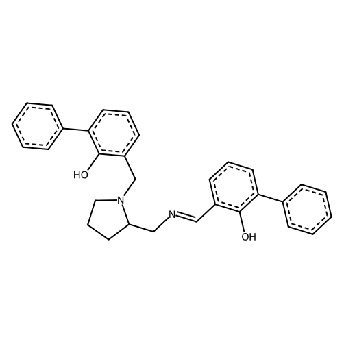 Oc1c(/C=N/CC2CCCN2Cc2cccc(-c3ccccc3)c2O)cccc1-c1ccccc1